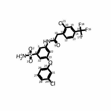 NS(=O)(=O)c1cc(NC(=O)Cc2ccc(C(F)(F)F)cc2Cl)cc(Oc2cccc(Cl)c2)c1